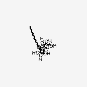 CCCCCCCCCCCCOCC1O[C@H](O[C@H]2OC(CO)[C@@H](O)[C@H](O)C2O)C(O)[C@@H](O)[C@@H]1O